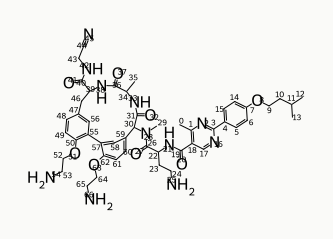 Cc1nc(-c2ccc(OCCC(C)C)cc2)ncc1C(=O)NC(CCN)C(=O)N(C)C1C(=O)NC(C)C(=O)NC(C(=O)NCC#N)Cc2ccc(OCCN)c(c2)-c2cc1ccc2OCCN